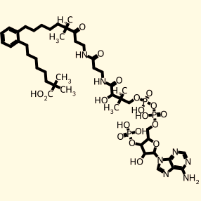 CC(C)(CCCCCCc1ccccc1CCCCCC(C)(C)C(=O)CCNC(=O)CCNC(=O)C(O)C(C)(C)COP(=O)(O)OP(=O)(O)OCC1OC(n2cnc3c(N)ncnc32)C(O)C1OP(=O)(O)O)C(=O)O